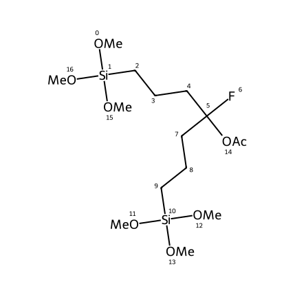 CO[Si](CCCC(F)(CCC[Si](OC)(OC)OC)OC(C)=O)(OC)OC